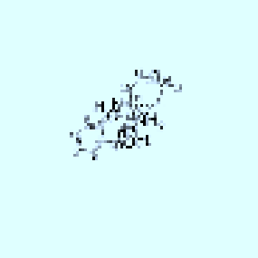 CCCCCCCCc1ccccc1OC(N)(CCC)C1(N)CCOC(C)CO1